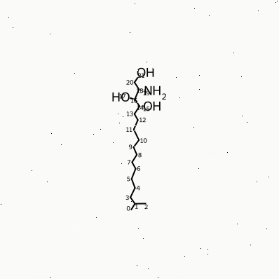 CC(C)CCCCCCCCCCC[C@@H](O)[C@@H](O)[C@@H](N)CO